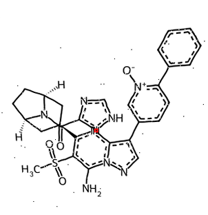 CS(=O)(=O)c1c([C@H]2C[C@H]3CC[C@@H](C2)N3C(=O)c2nc[nH]n2)nc2c(-c3ccc(-c4ccccc4)[n+]([O-])c3)cnn2c1N